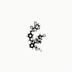 COc1cccc2c1c(NS(=O)(=O)c1ccc(Cl)s1)nn2Cc1ccc(CNC(=O)C2COCCN2)cc1